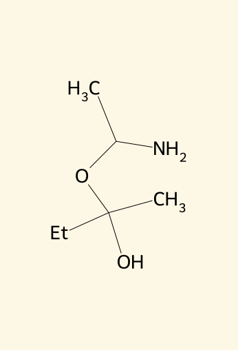 CCC(C)(O)OC(C)N